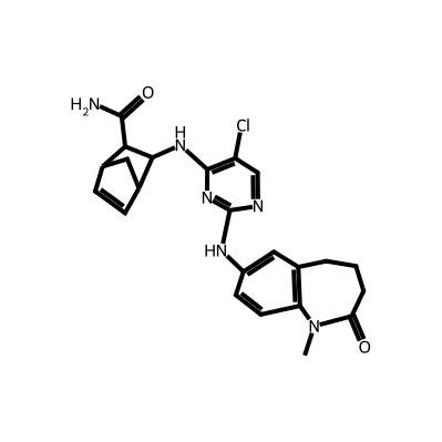 CN1C(=O)CCCc2cc(Nc3ncc(Cl)c(NC4C5C=CC(C5)C4C(N)=O)n3)ccc21